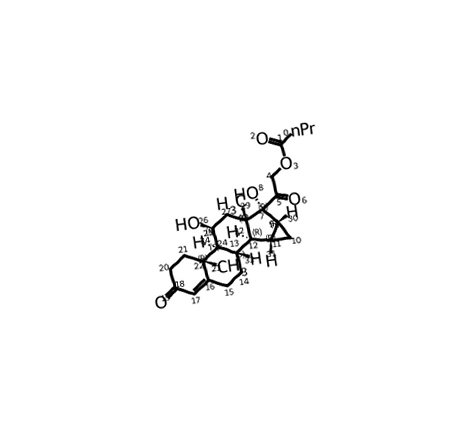 CCCC(=O)OCC(=O)[C@@]1(O)[C@@H]2C[C@@H]2[C@H]2[C@@H]3CCC4=CC(=O)CC[C@]4(C)[C@H]3[C@@H](O)C[C@@]21C